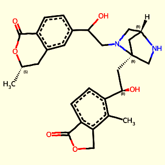 Cc1c([C@H](O)C[C@]23CN[C@@H](CN2CC(O)c2ccc4c(c2)C[C@H](C)OC4=O)C3)ccc2c1COC2=O